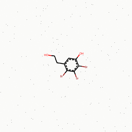 OCCc1cc(O)c(Br)c(Br)c1Br